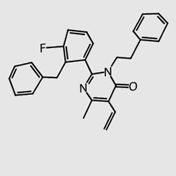 C=Cc1c(C)nc(-c2cccc(F)c2Cc2ccccc2)n(CCc2ccccc2)c1=O